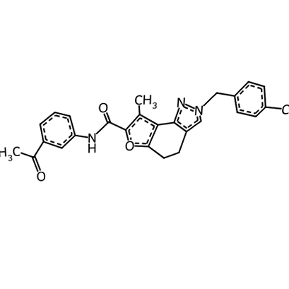 CC(=O)c1cccc(NC(=O)c2oc3c(c2C)-c2nn(Cc4ccc(Cl)cc4)cc2CC3)c1